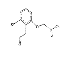 O=CCc1c(Br)cccc1OCC(=O)O